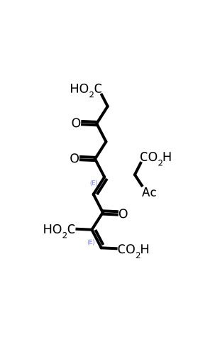 CC(=O)CC(=O)O.O=C(O)/C=C(/C(=O)O)C(=O)/C=C/C(=O)CC(=O)CC(=O)O